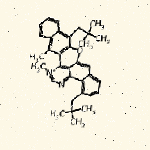 Cc1c2c(c(CC(C)(C)C)c3ccccc13)Oc1cc3cccc(CC(C)(C)C)c3c3nc[n+](C)c-2c13